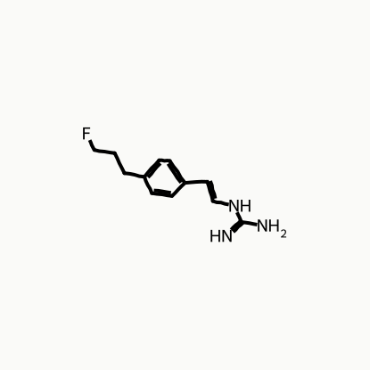 N=C(N)NC=Cc1ccc(CCCF)cc1